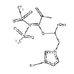 C=C(C)C(OC(CCCCCCCCCC)Cn1cc[n+](CC)c1)=[N+](S(=O)(=O)C(F)(F)F)S(=O)(=O)C(F)(F)F